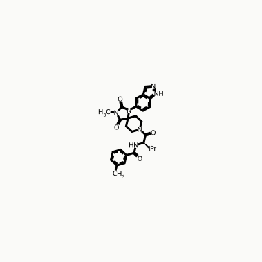 Cc1cccc(C(=O)N[C@@H](C(=O)N2CCC3(CC2)C(=O)N(C)C(=O)N3c2ccc3[nH]ncc3c2)C(C)C)c1